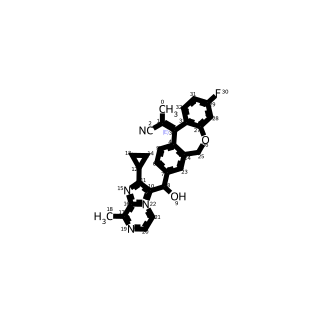 C/C(C#N)=C1/c2ccc(C(O)c3c(C4CC4)nc4c(C)nccn34)cc2COc2cc(F)ccc21